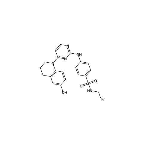 CC(C)CNS(=O)(=O)c1ccc(Nc2nccc(N3CCCc4cc(O)ccc43)n2)cc1